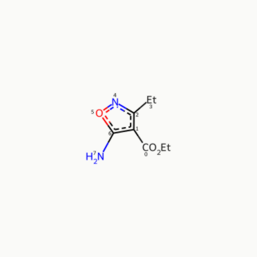 CCOC(=O)c1c(CC)noc1N